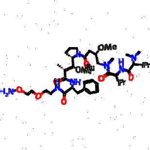 CC[C@H](C)[C@@H]([C@@H](CC(=O)N1CCC[C@H]1[C@H](OC)[C@@H](C)C(=O)N[C@@H](Cc1ccccc1)C(=O)NCCOCCON)OC)N(C)C(=O)[C@@H](NC(=O)C(C(C)C)N(C)C)C(C)C